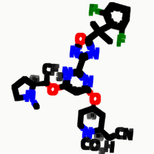 CN1CCC[C@H]1C(Oc1cc(O[C@H]2CCN(C(=O)O)[C@H](CC#N)C2)nc(-c2noc(C(C)(C)c3c(F)cccc3F)n2)n1)C(F)(F)F